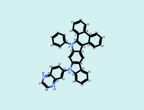 c1ccc(-n2c3cc4c(cc3c3c5ccccc5c5ccccc5c32)c2ccccc2n4-c2ccc3nccnc3c2)cc1